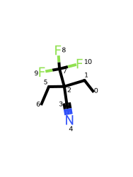 CCC(C#N)(CC)C(F)(F)F